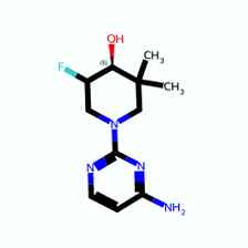 CC1(C)CN(c2nccc(N)n2)CC(F)[C@H]1O